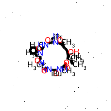 C/C=C(\C)[C@H]1OC(=O)[C@@H](C)NC(=O)C(C(C)CC)NC(=O)CN(C)C(=O)[C@@H](CC2CCCCC2)N(C)C(=O)[C@H](C)NC(=O)[C@@H](CC(C)C)NC(=O)/C(C)=C/C[C@H](O)[C@@H]1C